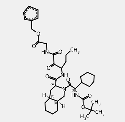 CCCC(NC(=O)[C@@H]1C[C@@H]2CCCC[C@@H]2CN1C(=O)[C@@H](NC(=O)OC(C)(C)C)C1CCCCC1)C(=O)C(=O)NCC(=O)OCc1ccccc1